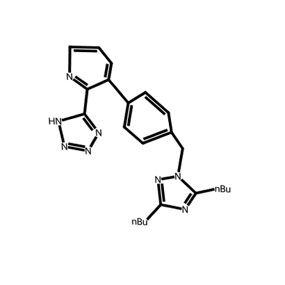 CCCCc1nc(CCCC)n(Cc2ccc(-c3cccnc3-c3nnn[nH]3)cc2)n1